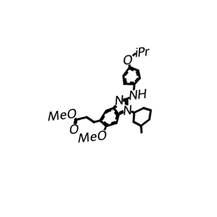 COC(=O)CCc1cc2nc(Nc3ccc(OC(C)C)cc3)n(C3CCCC(C)C3)c2cc1OC